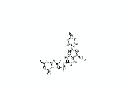 C[C@H]1CN(C[C@H](N)CC(=O)N2CCc3c(nc(-c4ccc(F)cc4)nc3C(F)(F)F)C2)CC(=O)O1